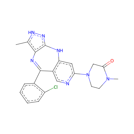 Cc1[nH]nc2c1N=C(c1ccccc1Cl)c1cnc(N3CCN(C)C(=O)C3)cc1N2